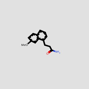 COc1ccc2cccc(CCC(N)=O)c2c1